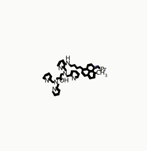 Cc1ccc2ccc(CCCCNc3cccnc3CN(Cc3ccccn3)CC(O)CN(Cc3ccccn3)Cc3ccccn3)c3cc/c(=C/C(C)C)c1c23